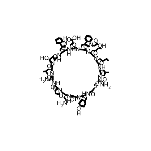 CCCC[C@H]1C(=O)N(C)[C@@H](CCCC)C(=O)N[C@@H](CC(C)C)C(=O)N[C@H](C(N)=O)CSCC(=O)N[C@@H](Cc2ccc(O)cc2)C(=O)N(C)[C@@H](C)C(=O)N[C@@H](CCN)C(=O)N2CCC[C@H]2C(=O)N[C@@H](CN)C(=O)N[C@@H](CC(C)C)C(=O)N2C[C@H](O)C[C@H]2C(=O)N[C@@H](Cc2c[nH]c3ccccc23)C(=O)N[C@@H](CCC(=O)O)C(=O)N[C@@H](Cc2cn(CC(=O)O)c3ccccc23)C(=O)N1C